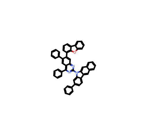 c1ccc(-c2ccc3c4cc5ccccc5cc4n(-c4nc(-c5ccccc5)c5cc(-c6ccccc6)c(-c6cccc7c6oc6ccccc67)cc5n4)c3c2)cc1